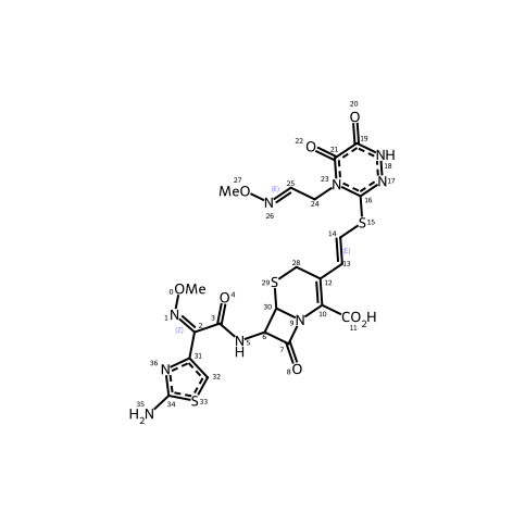 CO/N=C(\C(=O)NC1C(=O)N2C(C(=O)O)=C(/C=C/Sc3n[nH]c(=O)c(=O)n3C/C=N/OC)CSC12)c1csc(N)n1